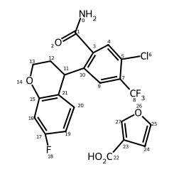 NC(=O)c1cc(Cl)c(C(F)(F)F)cc1C1CCOc2cc(F)ccc21.O=C(O)c1ccoc1